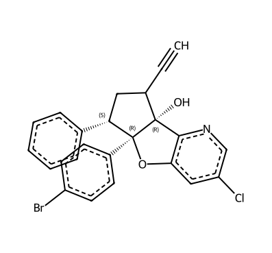 C#CC1C[C@@H](c2ccccc2)[C@]2(c3ccc(Br)cc3)Oc3cc(Cl)cnc3[C@]12O